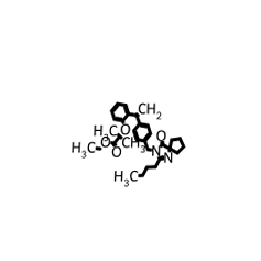 C=C(c1ccc(CN2C(=O)C3(CCCC3)N=C2CCCC)cc1)c1ccccc1OC(C)(C)C(=O)OCC